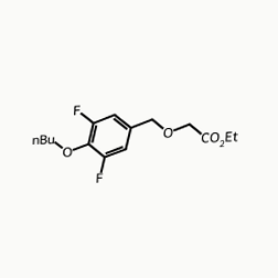 CCCCOc1c(F)cc(COCC(=O)OCC)cc1F